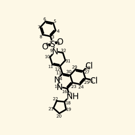 O=S(=O)(c1ccccc1)N1CC=C(c2nnc(NC3CCCC3)c3cc(Cl)c(Cl)cc23)CC1